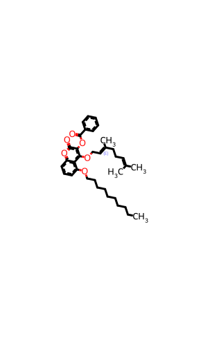 CCCCCCCCCCOc1cccc2oc(=O)c(OC(=O)c3ccccc3)c(OC/C=C(\C)CCC=C(C)C)c12